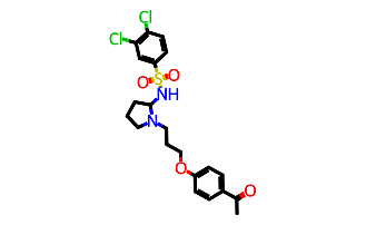 CC(=O)c1ccc(OCCCN2CCCC2NS(=O)(=O)c2ccc(Cl)c(Cl)c2)cc1